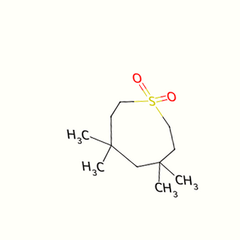 CC1(C)CCS(=O)(=O)CCC(C)(C)C1